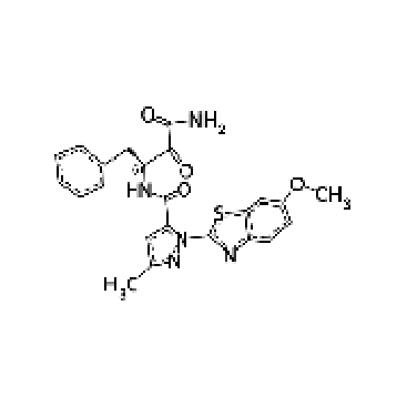 COc1ccc2nc(-n3nc(C)cc3C(=O)N[C@@H](Cc3ccccc3)C(=O)C(N)=O)sc2c1